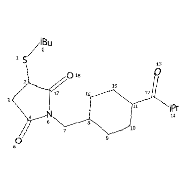 CCC(C)SC1CC(=O)N(CC2CCC(C(=O)C(C)C)CC2)C1=O